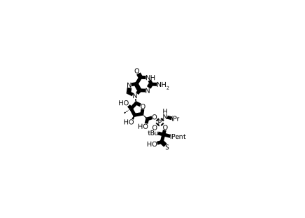 CCCC(C)C(OP(=O)(NC(C)C)OC(O)[C@H]1O[C@@H](n2cnc3c(=O)[nH]c(N)nc32)[C@](C)(O)[C@@H]1O)(C(O)=S)C(C)(C)C